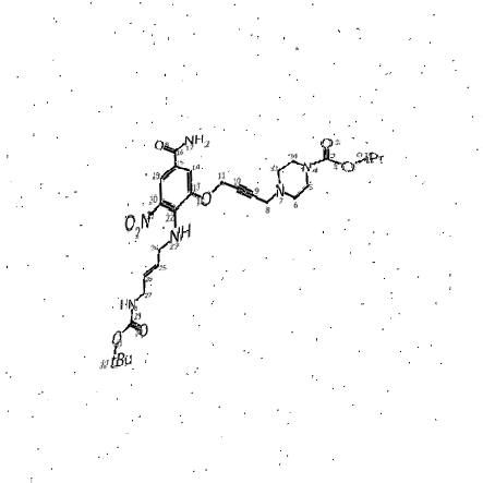 CC(C)OC(=O)N1CCN(CC#CCOc2cc(C(N)=O)cc([N+](=O)[O-])c2NC/C=C/CNC(=O)OC(C)(C)C)CC1